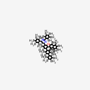 Bc1c(B)c(B)c(-c2cc(-c3c(B)c(B)c(-c4c(B)c(B)c(-c5c(B)c(B)c(B)c(B)c5B)c(B)c4B)c4c3oc3c(B)c5c(B)c(B)c(B)c(B)c5c(B)c34)nc(-c3c(B)c(B)c(B)c(B)c3B)n2)c(B)c1B